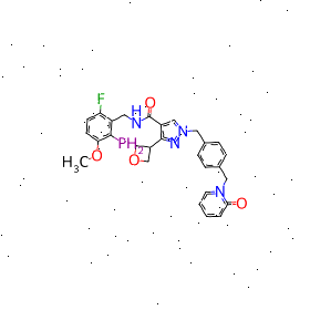 COc1ccc(F)c(CNC(=O)c2cn(Cc3ccc(Cn4ccccc4=O)cc3)nc2C2COC2)c1P